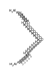 O.O.O.O.O.O.O.O.O.O.O.O.O.O.O.O.[AlH3].[AlH3].[AlH3].[AlH3].[AlH3].[AlH3].[AlH3].[AlH3].[AlH3].[AlH3].[AlH3].[AlH3]